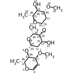 CO[C@H]1C=CO[C@H](C)[C@H]1O[C@H]1C[C@H](O)[C@H](O[C@H]2C[C@@H](OC)[C@H](O)[C@@H](C)O2)[C@@H](C)O1